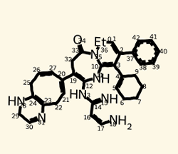 CC/C=C(\C(C1=CCCCC1)=C1\NC(NC(=N)/C=C\N)=C(C2=C/CC3=C(C/C=C\2)NCC=N3)CC(=O)N1C)c1ccccc1